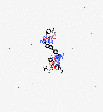 CCCN(Cc1ncc(-c2ccc3cc(-c4ccc(-c5cnc(CN(CCC)C(=O)[C@H](NC(=O)OC)c6ccccc6)[nH]5)cc4)ccc3c2)[nH]1)C(=O)CNC=O